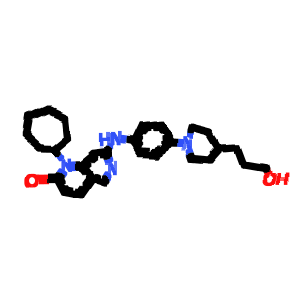 O=c1ccc2cnc(Nc3ccc(N4CCC(CCCO)CC4)cc3)cc2n1C1CCCCCC1